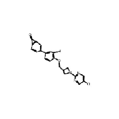 O=c1c2ccc(-c3ccc(OCC4CN(c5ncc(Cl)cn5)C4)c(F)c3)cc12